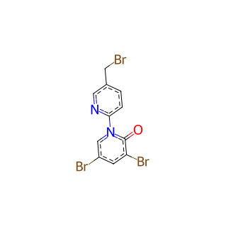 O=c1c(Br)cc(Br)cn1-c1ccc(CBr)cn1